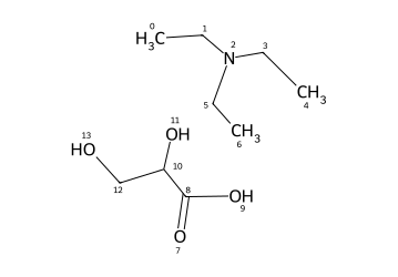 CCN(CC)CC.O=C(O)C(O)CO